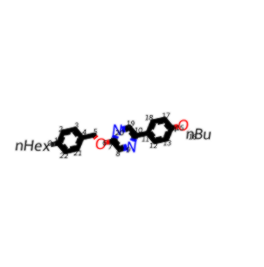 CCCCCCc1ccc(COc2cnc(-c3ccc(OCCCC)cc3)cn2)cc1